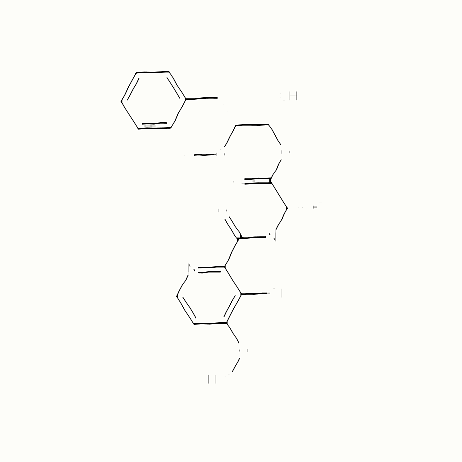 COc1ccnc(C(=O)N[C@@H](C)C(=O)O[C@@H](C)[C@@H](Cc2ccccc2)OC)c1O